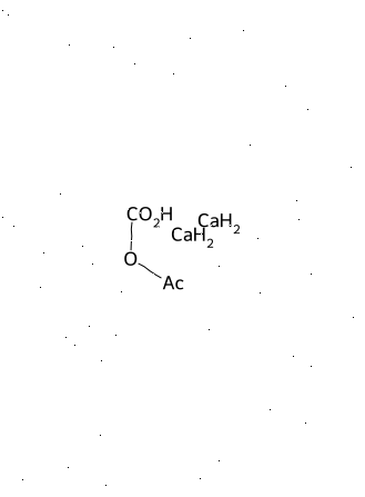 CC(=O)OC(=O)O.[CaH2].[CaH2]